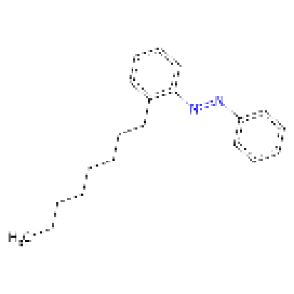 CCCCCCCCc1ccccc1N=Nc1ccccc1